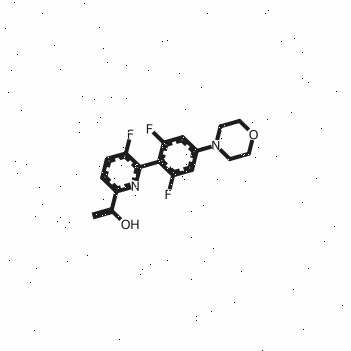 C=C(O)c1ccc(F)c(-c2c(F)cc(N3CCOCC3)cc2F)n1